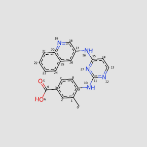 Cc1cc(C(=O)O)ccc1Nc1nccc(Nc2cnc3ccccc3c2)n1